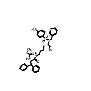 COC(=O)N[C@H](C(=O)NCCCC[C@@H](CO)N(Cc1cccnc1)S(=O)(=O)c1ccc(N)cc1)C(c1ccccc1)c1ccccc1